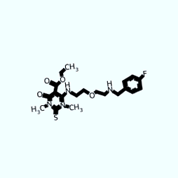 CCOC(=O)c1c(NCCOCCNCc2ccc(F)cc2)n(C)c(=S)n(C)c1=O